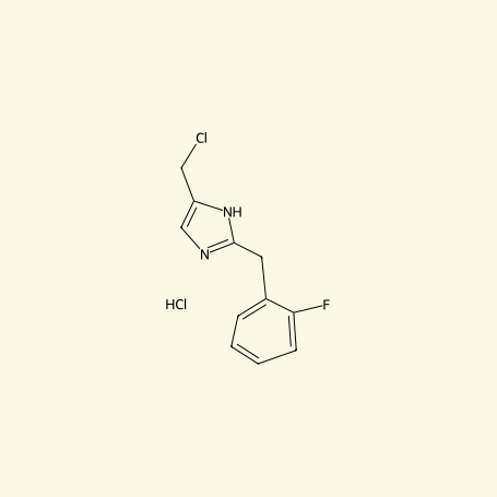 Cl.Fc1ccccc1Cc1ncc(CCl)[nH]1